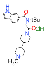 CN1CCC(C2CCN(C(=O)CN(C(=O)c3ccc4cc[nH]c4c3)C(C)(C)C)CC2)CC1.Cl